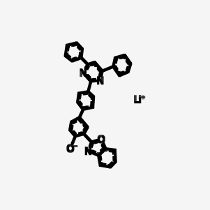 [Li+].[O-]c1ccc(-c2ccc(-c3nc(-c4ccccc4)cc(-c4ccccc4)n3)cc2)cc1-c1nc2ccccc2o1